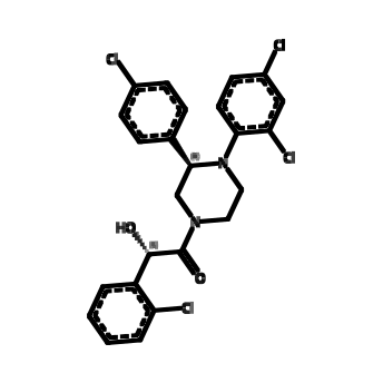 O=C([C@@H](O)c1ccccc1Cl)N1CCN(c2ccc(Cl)cc2Cl)[C@H](c2ccc(Cl)cc2)C1